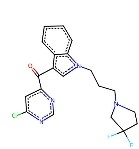 O=C(c1cc(Cl)ncn1)c1cn(CCCN2CCC(F)(F)C2)c2ccccc12